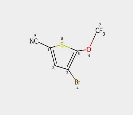 N#Cc1cc(Br)c(OC(F)(F)F)s1